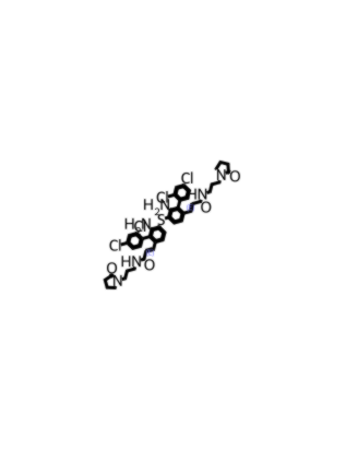 Nc1c(Sc2ccc(/C=C/C(=O)NCCCN3CCCC3=O)c(-c3ccc(Cl)cc3Cl)c2N)ccc(/C=C/C(=O)NCCCN2CCCC2=O)c1-c1ccc(Cl)cc1Cl